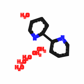 O.O.O.O.O.O.c1ccc(-c2ccccn2)nc1